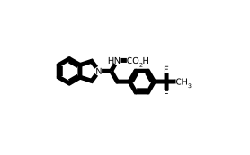 CC(F)(F)c1ccc(CC(NC(=O)O)N2Cc3ccccc3C2)cc1